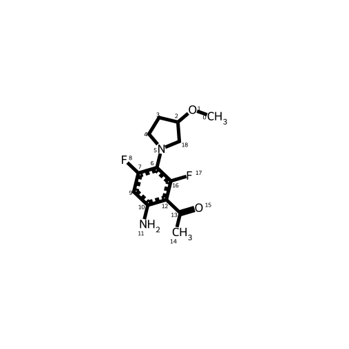 COC1CCN(c2c(F)cc(N)c(C(C)=O)c2F)C1